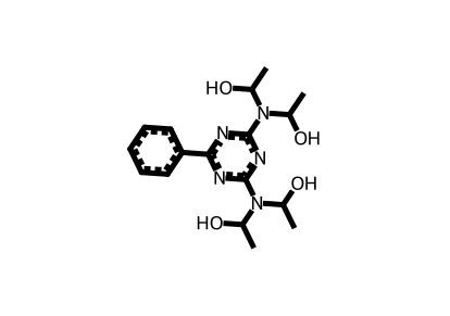 CC(O)N(c1nc(-c2ccccc2)nc(N(C(C)O)C(C)O)n1)C(C)O